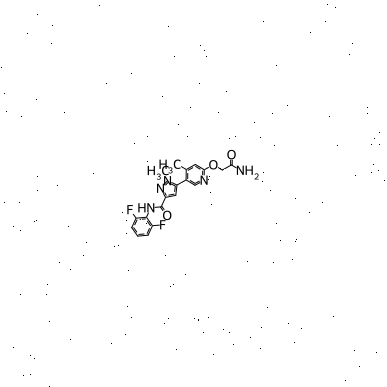 Cc1cc(OCC(N)=O)ncc1-c1cc(C(=O)Nc2c(F)cccc2F)nn1C